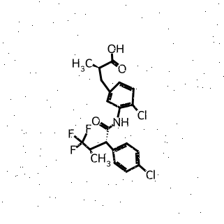 C[C@H](Cc1ccc(Cl)c(NC(=O)[C@H](c2ccc(Cl)cc2)[C@@H](C)C(F)(F)F)c1)C(=O)O